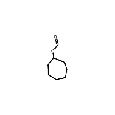 O=COC1CCCCCC1